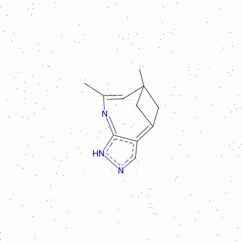 CC1=C\C2(C)CC(=c3cn[nH]\c3=N\1)C2